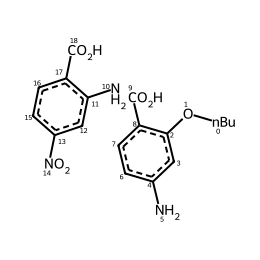 CCCCOc1cc(N)ccc1C(=O)O.Nc1cc([N+](=O)[O-])ccc1C(=O)O